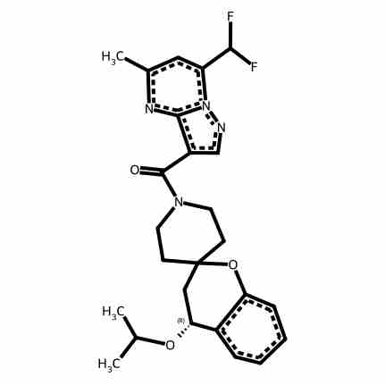 Cc1cc(C(F)F)n2ncc(C(=O)N3CCC4(CC3)C[C@@H](OC(C)C)c3ccccc3O4)c2n1